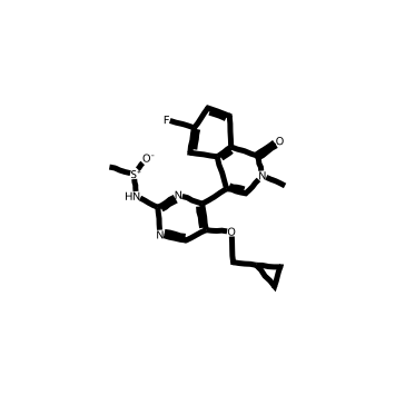 Cn1cc(-c2nc(N[S+](C)[O-])ncc2OCC2CC2)c2cc(F)ccc2c1=O